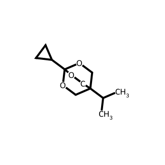 CC(C)C12COC(C3CC3)(OC1)OC2